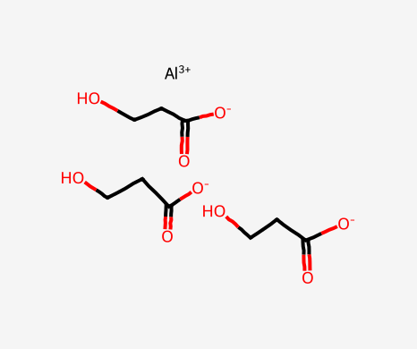 O=C([O-])CCO.O=C([O-])CCO.O=C([O-])CCO.[Al+3]